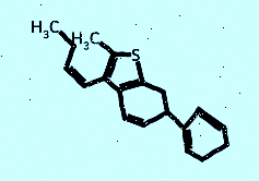 CC/C=C\c1c(C)sc2c1C=CC(C1=CCCC=C1)C2